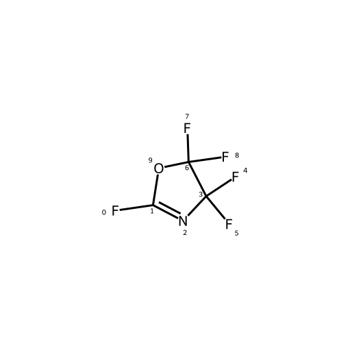 FC1=NC(F)(F)C(F)(F)O1